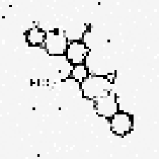 CCOC(=O)c1c(C[S+]([O-])Cc2ccccc2F)n(C2CC2)c2cc(Br)c(O)c(Cn3ccnc3)c12